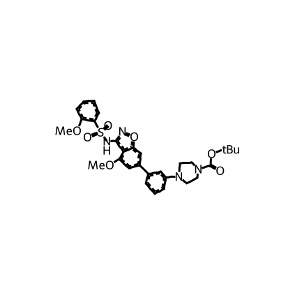 COc1ccccc1S(=O)(=O)Nc1noc2cc(-c3cccc(N4CCN(C(=O)OC(C)(C)C)CC4)c3)cc(OC)c12